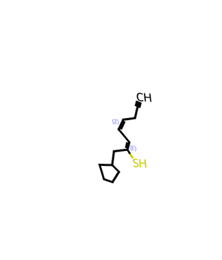 C#CC/C=C\C=C(\S)CC1CCCC1